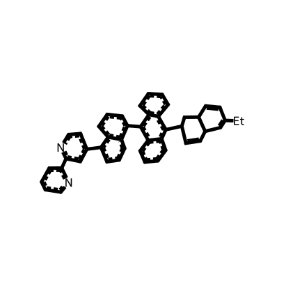 CCC1=CC2C=CC(c3c4ccccc4c(-c4cccc5c(-c6ccnc(-c7ccccn7)c6)cccc45)c4ccccc34)CC2C=C1